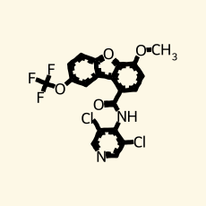 COc1ccc(C(=O)Nc2c(Cl)cncc2Cl)c2c1oc1ccc(OC(F)(F)F)cc12